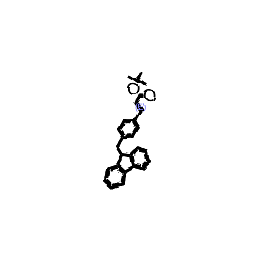 CC(C)(C)OC(=O)/C=C/c1ccc(CC2c3ccccc3-c3ccccc32)cc1